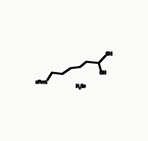 CCCCCCCCCCC(O)O.[SeH2]